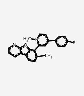 Cc1ccc2c(oc3ncccc32)c1-c1cc(-c2ccc(F)cc2)cc[n+]1C